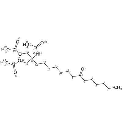 CCCCCCC(=O)CCCCCCCC(COC(C)=O)(COC(C)=O)NC(C)=O